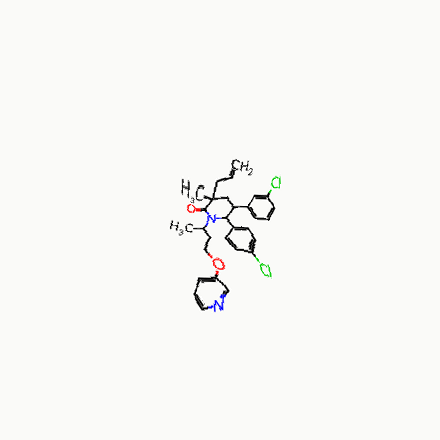 C=CCC1(C)CC(c2cccc(Cl)c2)C(c2ccc(Cl)cc2)N(C(C)CCOc2cccnc2)C1=O